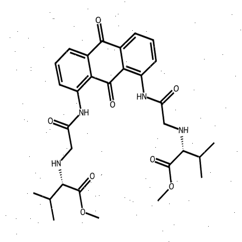 COC(=O)[C@@H](NCC(=O)Nc1cccc2c1C(=O)c1c(NC(=O)CN[C@@H](C(=O)OC)C(C)C)cccc1C2=O)C(C)C